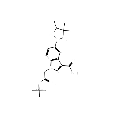 CC1OB(c2ccc3c(c2)c(C(N)=O)cn3CC(=O)OC(C)(C)C)OC1(C)C